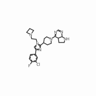 Fc1ccc(-c2cn(CCN3CCC3)c(C3CCN(C4=NC=NC5NCCC45)CC3)n2)cc1Cl